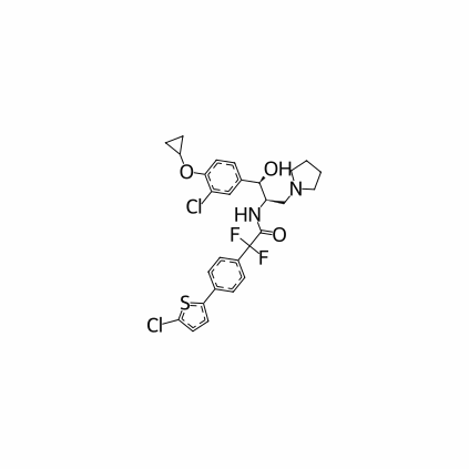 O=C(N[C@H](CN1CCCC1)[C@H](O)c1ccc(OC2CC2)c(Cl)c1)C(F)(F)c1ccc(-c2ccc(Cl)s2)cc1